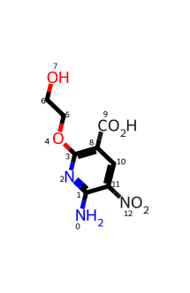 Nc1nc(OCCO)c(C(=O)O)cc1[N+](=O)[O-]